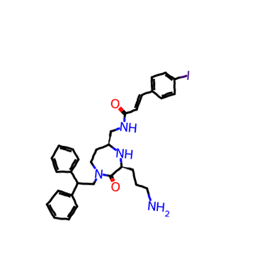 NCCC[C@@H]1N[C@H](CNC(=O)/C=C/c2ccc(I)cc2)CCN(CC(c2ccccc2)c2ccccc2)C1=O